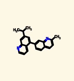 Cc1ccc2ccc(-c3cc(C(C)C)cc4ncccc34)cc2n1